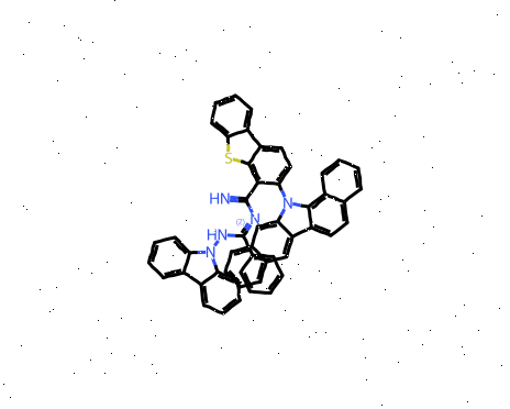 N=C(/N=C(\Nn1c2ccccc2c2ccccc21)c1ccccc1)c1c(-n2c3cc4ccccc4cc3c3ccc4ccccc4c32)ccc2c1sc1ccccc12